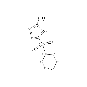 O=C(O)c1ccc(S(=O)(=O)N2CC[CH]CC2)o1